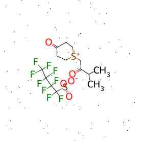 CC(C)C(=O)C[S+]1CCC(=O)CC1.O=S(=O)([O-])C(F)(F)C(F)(F)C(F)(F)C(F)(F)F